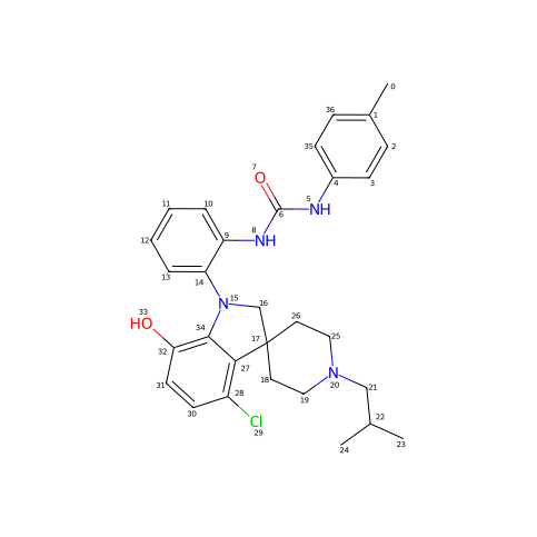 Cc1ccc(NC(=O)Nc2ccccc2N2CC3(CCN(CC(C)C)CC3)c3c(Cl)ccc(O)c32)cc1